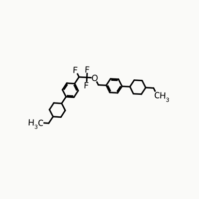 CCC1CCC(c2ccc(COC(F)(F)C(F)c3ccc(C4CCC(CC)CC4)cc3)cc2)CC1